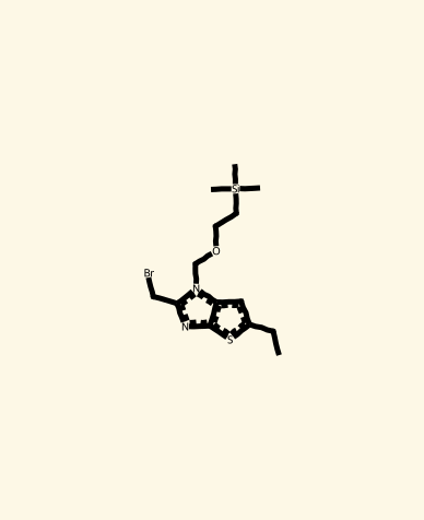 CCc1cc2c(nc(CBr)n2COCC[Si](C)(C)C)s1